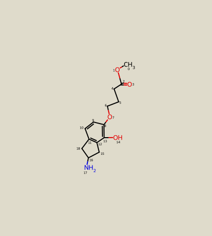 COC(=O)CCCOc1ccc2c(c1O)CC(N)C2